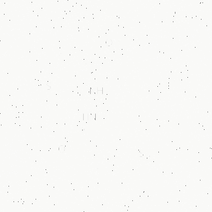 O=C1CCSc2ccccc2N1.O=C1CSCN1